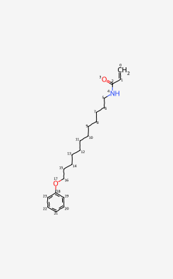 C=CC(=O)NCCCCCCCCCCCCOc1ccccc1